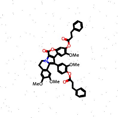 COc1cc2c(cc1OC)-c1c(-c3ccc(OC(=O)CCc4ccccc4)c(OC)c3)c3c4cc(OC)c(OC(=O)CCc5ccccc5)cc4oc(=O)c3n1CC2